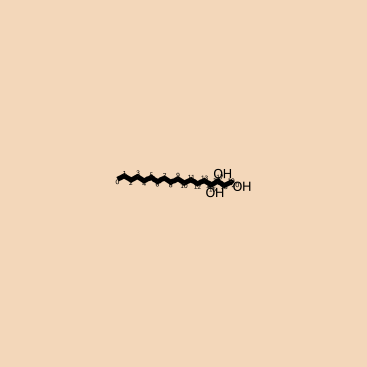 CCCCCCCCCCCCCCC(O)C(O)CCO